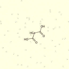 O=[C](O)[GaH][C](=O)O